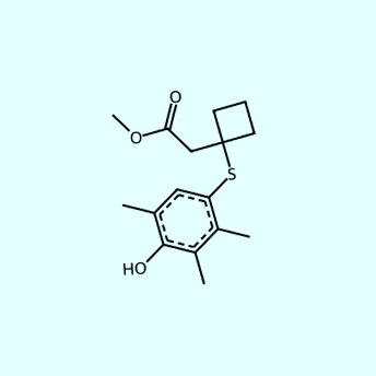 COC(=O)CC1(Sc2cc(C)c(O)c(C)c2C)CCC1